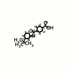 CC(C)(C)c1ccc2oc(-c3ccc(C(=O)O)cc3)nc2c1